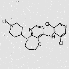 Clc1cncc(Cl)c1Nc1ncnc2c1OCCCN2C1CCN(Cl)CC1